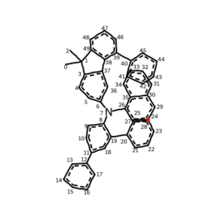 CC1(C)c2ccc(N(c3ccc(-c4ccccc4)cc3-c3ccccc3)c3cccc4ccccc34)cc2-c2c(-c3ccccc3)cccc21